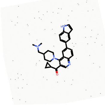 CN(C)CC1CCN(c2c(C(=O)C3CC3)cnc3ccc(-c4ccc5[nH]ccc5c4)cc23)CC1